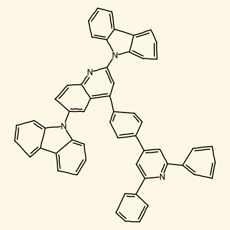 c1ccc(-c2cc(-c3ccc(-c4cc(-n5c6ccccc6c6ccccc65)nc5ccc(-n6c7ccccc7c7ccccc76)cc45)cc3)cc(-c3ccccc3)n2)cc1